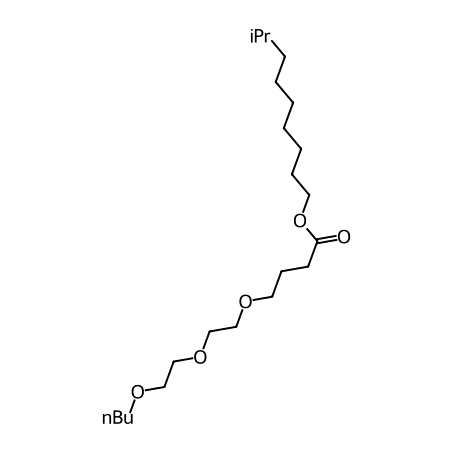 CCCCOCCOCCOCCCC(=O)OCCCCCCCC(C)C